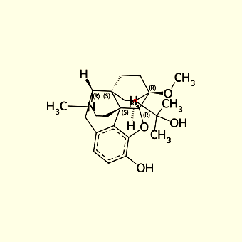 CO[C@]12CC[C@@]3(C[C@@H]1C(C)(C)O)[C@H]1Cc4ccc(O)c5c4[C@@]3(CCN1C)[C@H]2O5